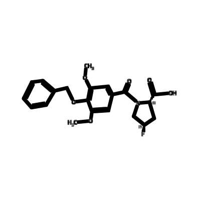 COc1cc(C(=O)N2C[C@H](F)C[C@H]2C(=O)O)cc(OC)c1OCc1ccccc1